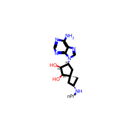 CCCN[C@H]1C[C@]2(C[C@@H](n3cnc4c(N)ncnc43)[C@H](O)[C@@H]2O)C1